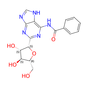 O=C(Nc1nc([C@@H]2O[C@H](CO)[C@@H](O)[C@@H]2O)nc2nc[nH]c12)c1ccccc1